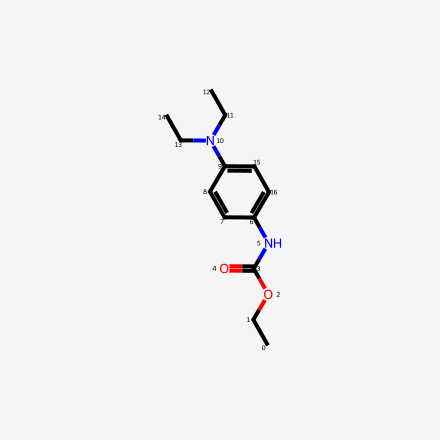 CCOC(=O)Nc1ccc(N(CC)CC)cc1